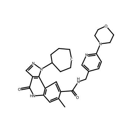 Cc1cc2[nH]c(=O)c3cnn(C4CCCCCC4)c3c2cc1C(=O)NCc1ccc(N2CCOCC2)nc1